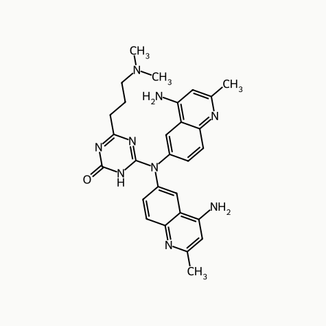 Cc1cc(N)c2cc(N(c3ccc4nc(C)cc(N)c4c3)c3nc(CCCN(C)C)nc(=O)[nH]3)ccc2n1